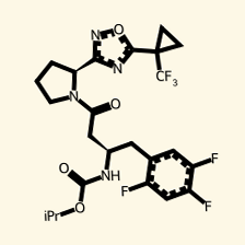 CC(C)OC(=O)N[C@@H](CC(=O)N1CCC[C@H]1c1noc(C2(C(F)(F)F)CC2)n1)Cc1cc(F)c(F)cc1F